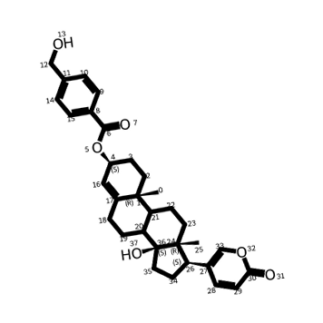 C[C@]12CC[C@H](OC(=O)c3ccc(CO)cc3)C=C1CCC1C2CC[C@]2(C)[C@@H](c3ccc(=O)oc3)CC[C@]12O